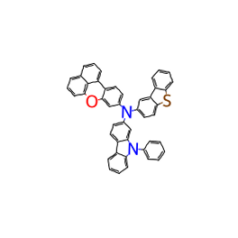 c1ccc(-n2c3ccccc3c3ccc(N(c4ccc5c(c4)Oc4cccc6cccc-5c46)c4ccc5sc6ccccc6c5c4)cc32)cc1